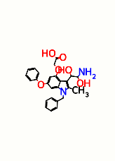 Cc1c(C(O)C(N)O)c2c(OCC(=O)O)cc(Oc3ccccc3)cc2n1Cc1ccccc1